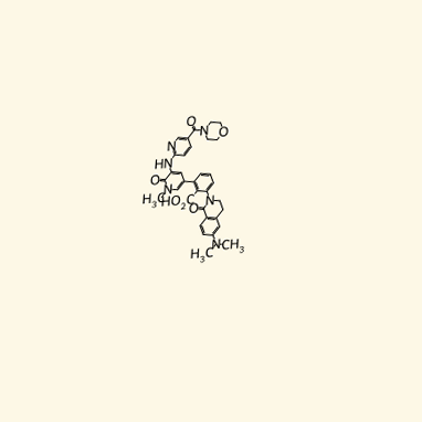 CN(C)c1ccc2c(c1)CCN(c1cccc(-c3cc(Nc4ccc(C(=O)N5CCOCC5)cn4)c(=O)n(C)c3)c1C(=O)O)C2=O